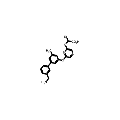 CCC(Oc1cncc(Oc2cc(C)cc(-c3cccc(CN)c3)c2)n1)C(=O)O